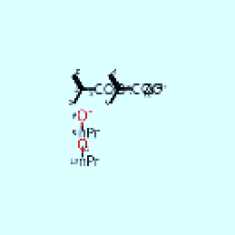 C=C(C)C(=O)[O-].C=C(C)C(=O)[O-].CCC[O-].CCC[O-].[Zr+4]